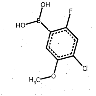 COc1cc(B(O)O)c(F)cc1Cl